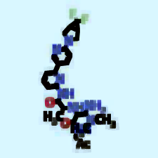 CC(=O)CNC(=O)/C(N[C@@H](C)C(=O)Nc1cccc(-c2ccc(N3CC4C(C3)C4(F)F)nc2)n1)=C(/N)N(C)C